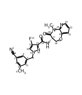 Cc1cc(C#N)cc(Cn2cc(F)c(C(=O)N[C@H]3COc4cccnc4N(C)C3=O)n2)c1